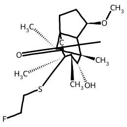 CO[C@@H]1CCC23CC[C@@H](C)[C@](C)(C12)[C@H](O)C[C@@](C)(SCCF)C(=O)[C@@H]3C